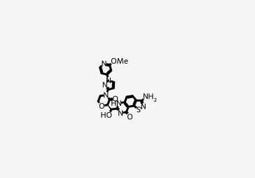 COc1cc(-n2ccc(N3CCO[C@H](C(O)c4nc(=O)c5c(ccc6c(N)nsc65)[nH]4)C3=O)n2)ccn1